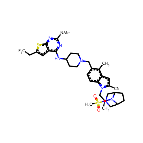 CNc1nc(NC2CCN(Cc3ccc4c(cc(C#N)n4C[C@H](C)N4C5CCC4CN(S(C)(=O)=O)C5)c3C)CC2)c2cc(CC(F)(F)F)sc2n1